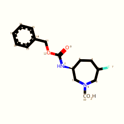 O=C(N[C@H]1CCC(F)CN(C(=O)O)C1)OCc1ccccc1